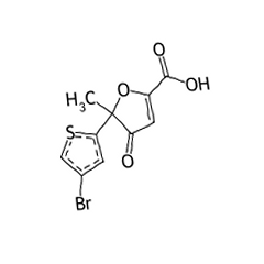 CC1(c2cc(Br)cs2)OC(C(=O)O)=CC1=O